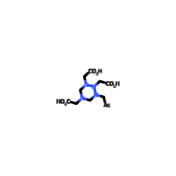 CC(=O)CN1CN(CC(=O)O)CN(CC(=O)O)N1CC(=O)O